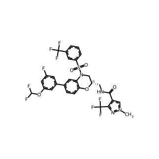 Cn1cc(C(=O)NC[C@H]2CN(S(=O)(=O)c3cccc(C(F)(F)F)c3)c3cc(-c4cc(F)cc(OC(F)F)c4)ccc3O2)c(C(F)(F)F)n1